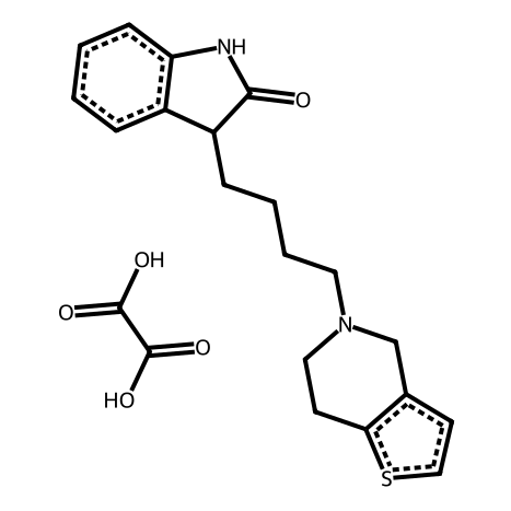 O=C(O)C(=O)O.O=C1Nc2ccccc2C1CCCCN1CCc2sccc2C1